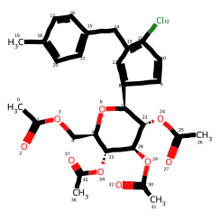 CC(=O)OC[C@H]1O[C@@H](c2ccc(Cl)c(Cc3ccc(C)cc3)c2)[C@H](OC(C)=O)[C@@H](OC(C)=O)[C@@H]1OC(C)=O